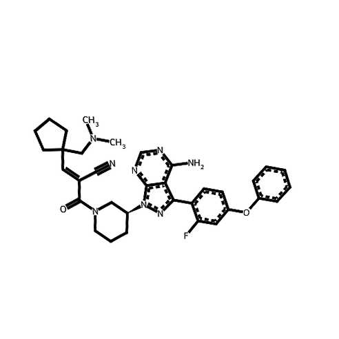 CN(C)CC1(C=C(C#N)C(=O)N2CCC[C@H](n3nc(-c4ccc(Oc5ccccc5)cc4F)c4c(N)ncnc43)C2)CCCC1